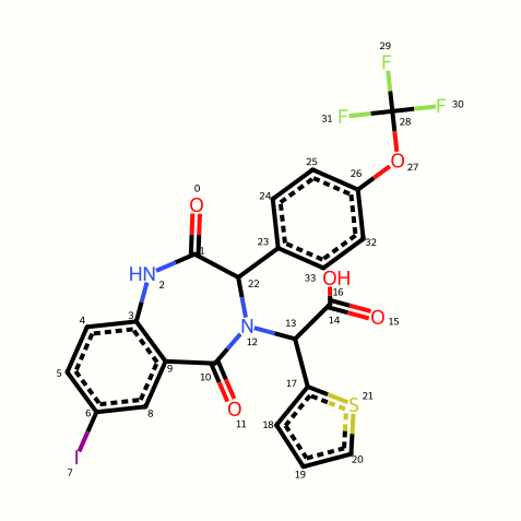 O=C1Nc2ccc(I)cc2C(=O)N(C(C(=O)O)c2cccs2)C1c1ccc(OC(F)(F)F)cc1